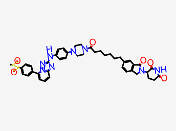 CS(=O)(=O)c1ccc(-c2cccc3nc(Nc4ccc(N5CCN(C(=O)CCCCCCc6ccc7c(c6)C(=O)N(C6CCC(=O)NC6=O)C7)CC5)cc4)nn23)cc1